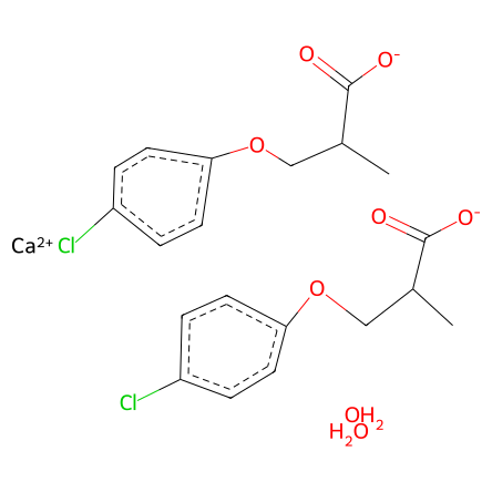 CC(COc1ccc(Cl)cc1)C(=O)[O-].CC(COc1ccc(Cl)cc1)C(=O)[O-].O.O.[Ca+2]